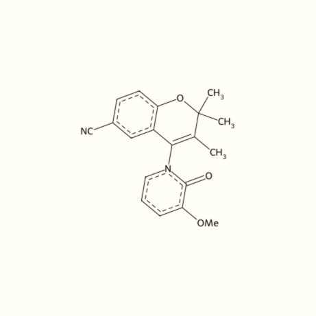 COc1cccn(C2=C(C)C(C)(C)Oc3ccc(C#N)cc32)c1=O